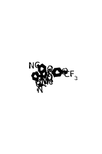 COc1ccccc1C1(CN[C@@H](C)C(=O)N(C)C)C(=O)N(S(=O)(=O)c2ccc(OC(F)(F)F)cc2)c2ccc(C#N)cc21